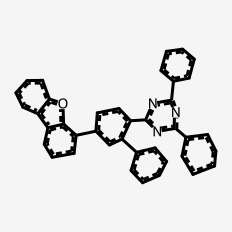 c1ccc(-c2nc(-c3ccccc3)nc(-c3ccc(-c4cccc5c4oc4ccccc45)cc3-c3ccccc3)n2)cc1